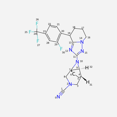 N#CN1C[C@@H]2CC[C@]3(C1)[C@H]2N3c1nc2n(n1)CCCC2c1ccc(C(F)(F)F)cc1F